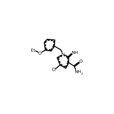 CCOc1cccc(Cn2cc(Cl)cc(C(N)=O)c2=N)c1